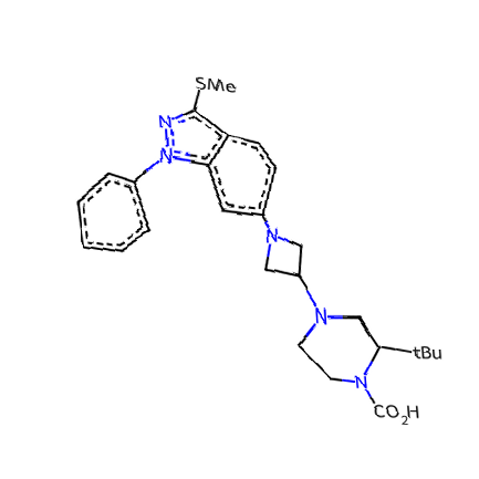 CSc1nn(-c2ccccc2)c2cc(N3CC(N4CCN(C(=O)O)C(C(C)(C)C)C4)C3)ccc12